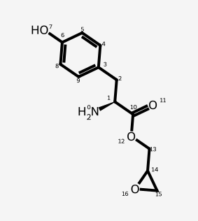 N[C@@H](Cc1ccc(O)cc1)C(=O)OCC1CO1